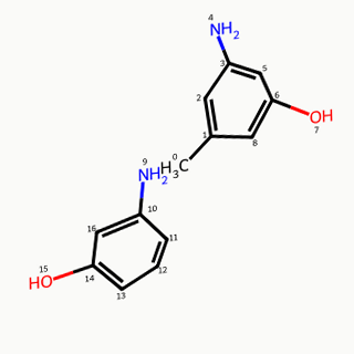 Cc1cc(N)cc(O)c1.Nc1cccc(O)c1